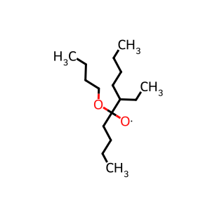 CCCCOC([O])(CCCC)C(CC)CCCC